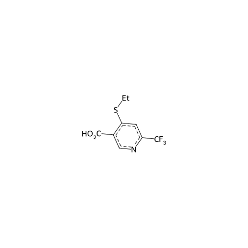 CCSc1cc(C(F)(F)F)ncc1C(=O)O